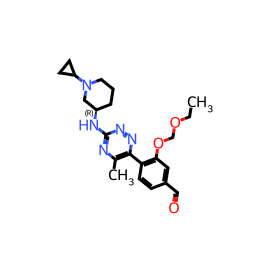 CCOCOc1cc(C=O)ccc1-c1nnc(N[C@@H]2CCCN(C3CC3)C2)nc1C